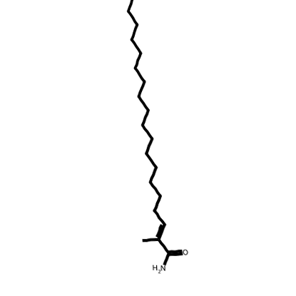 CCCCCCCCCCCCCCCC/C=C(\C)C(N)=O